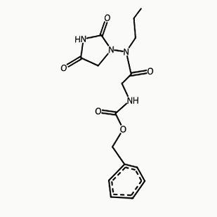 CCCN(C(=O)CNC(=O)OCc1ccccc1)N1CC(=O)NC1=O